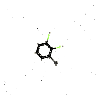 [CH2]Cc1cccc(F)c1F